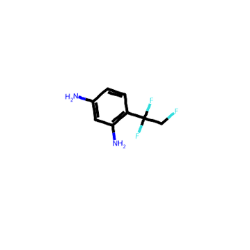 Nc1ccc(C(F)(F)CF)c(N)c1